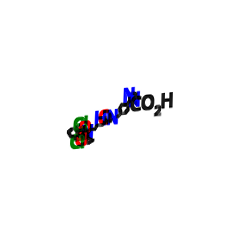 O=C(CCCCN(C1CC1)S(=O)(=O)c1c(Cl)cccc1Cl)CNCc1ccc(C2=NCCN2C(=O)O)cc1